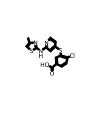 Cc1csc(Nc2cc(Sc3cc(C(=O)O)ccc3Cl)ccn2)n1